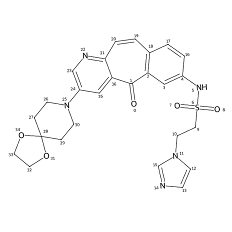 O=c1c2cc(NS(=O)(=O)CCn3ccnc3)ccc2ccc2ncc(N3CCC4(CC3)OCCO4)cc12